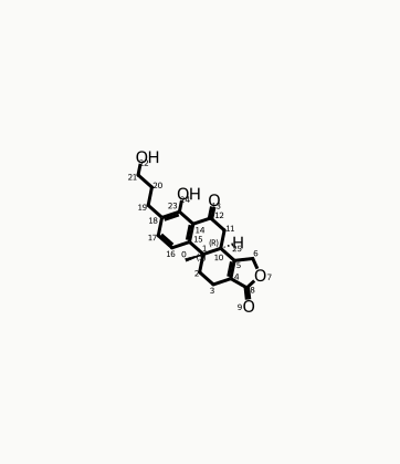 C[C@]12CCC3=C(COC3=O)[C@@H]1CC(=O)c1c2ccc(CCCO)c1O